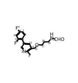 Cc1ncc(-c2ccc(F)cc2F)cc1COCCCNC=O